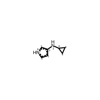 c1cc(NC2CC2)c[nH]1